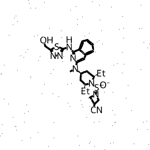 CC[C@@H]1C[C@@H](N(C)c2cc3ccccc3c(Nc3nnc(CO)s3)n2)C[C@H](CC)N1[S+]([O-])N1CC(C#N)C1